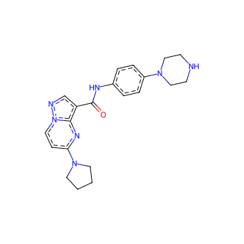 O=C(Nc1ccc(N2CCNCC2)cc1)c1cnn2ccc(N3CCCC3)nc12